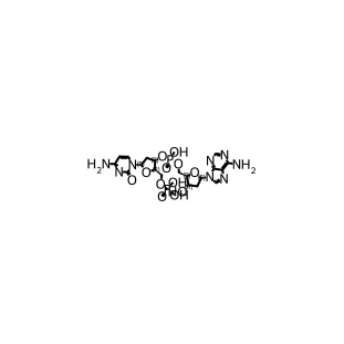 Nc1ccn([C@H]2C[C@@H](OP(=O)(O)OC[C@H]3O[C@@H](n4cnc5c(N)ncnc54)C[C@H]3O)[C@@H](COP(=O)(O)O)O2)c(=O)n1